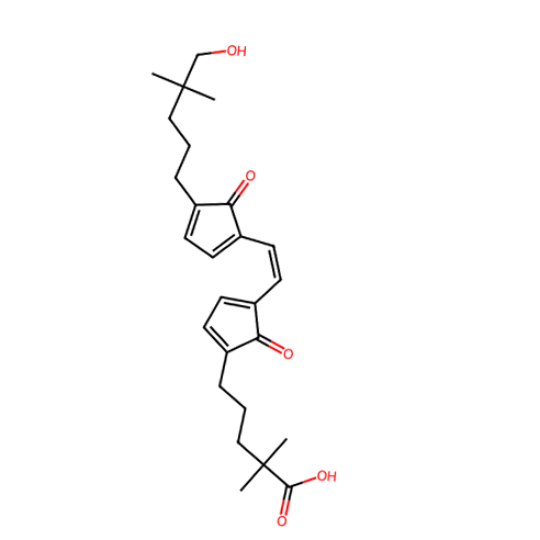 CC(C)(CO)CCCC1=CC=C(/C=C\C2=CC=C(CCCC(C)(C)C(=O)O)C2=O)C1=O